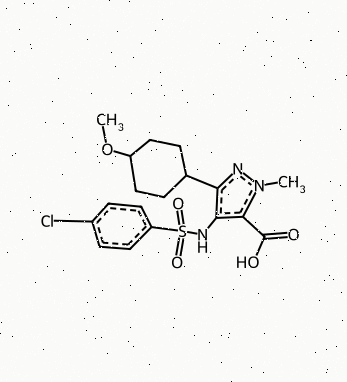 COC1CCC(c2nn(C)c(C(=O)O)c2NS(=O)(=O)c2ccc(Cl)cc2)CC1